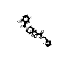 O=C(NCc1cccs1)C1=NOC2(CCN(C(=O)c3ccccc3Cl)CC2)C1